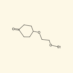 CCOCCOC1CCC(=O)CC1